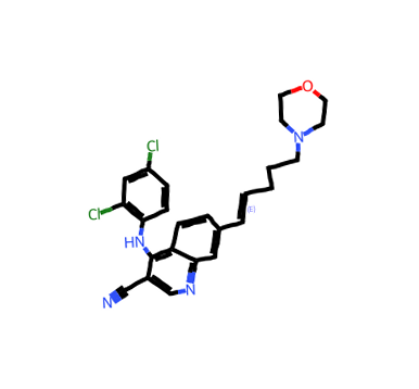 N#Cc1cnc2cc(/C=C/CCCN3CCOCC3)ccc2c1Nc1ccc(Cl)cc1Cl